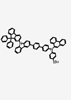 CC(C)(C)c1ccc(N(c2ccc(-c3ccc(-c4ccc5c(c4)c4ccccc4n5-c4ccc5c(c4)C(c4ccccc4)(c4ccccc4)c4ccccc4-5)cc3)cc2)c2cc3ccccc3c3ccccc23)cc1